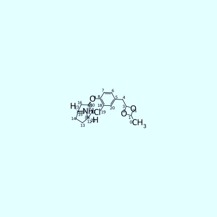 CC1OC(Cc2ccc(O[C@H]3C[C@H]4CC[C@@H](C3)N4)c(Cl)c2)O1